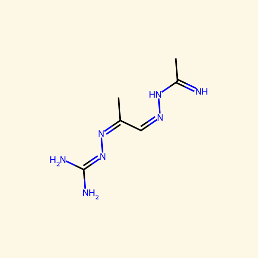 CC(=N)N/N=C\C(C)=N/N=C(N)N